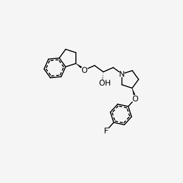 O[C@H](CO[C@@H]1CCc2ccccc21)CN1CC[C@@H](Oc2ccc(F)cc2)C1